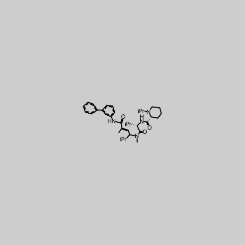 C/C(=C\C(C(C)C)N(C)C(=O)[C@@H](NC(=O)[C@H]1CCCCN1C(C)C)C(C)C)C(=O)Nc1cccc(-c2ccccc2)c1